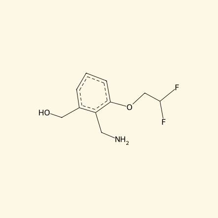 NCc1c(CO)cccc1OCC(F)F